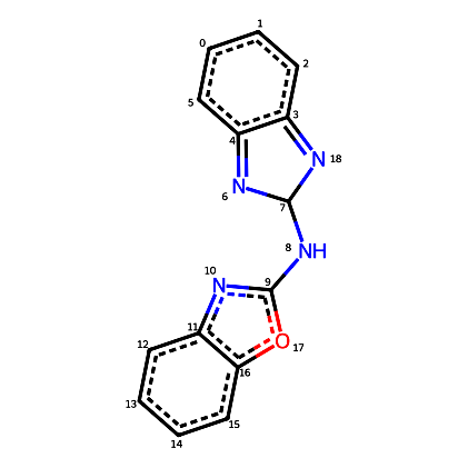 c1ccc2c(c1)=NC(Nc1nc3ccccc3o1)N=2